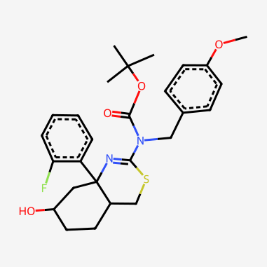 COc1ccc(CN(C(=O)OC(C)(C)C)C2=NC3(c4ccccc4F)CC(O)CCC3CS2)cc1